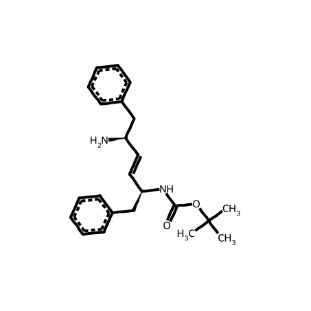 CC(C)(C)OC(=O)N[C@H](/C=C/[C@@H](N)Cc1ccccc1)Cc1ccccc1